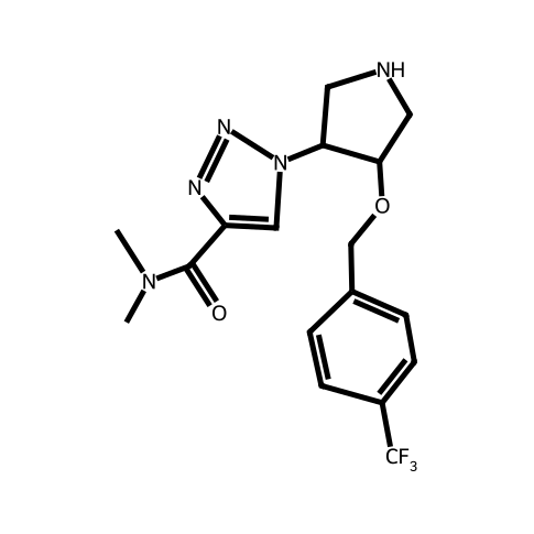 CN(C)C(=O)c1cn(C2CNCC2OCc2ccc(C(F)(F)F)cc2)nn1